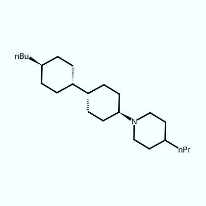 CCCC[C@H]1CC[C@H]([C@H]2CC[C@H](N3CCC(CCC)CC3)CC2)CC1